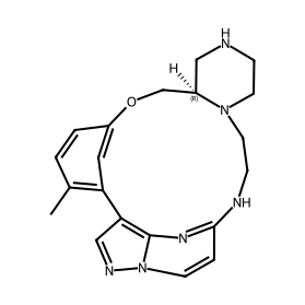 Cc1ccc2cc1-c1cnn3ccc(nc13)NCCN1CCNC[C@@H]1CO2